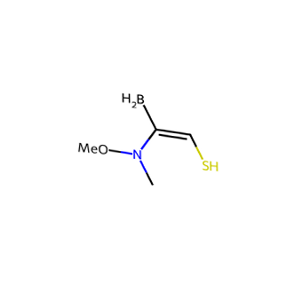 B/C(=C/S)N(C)OC